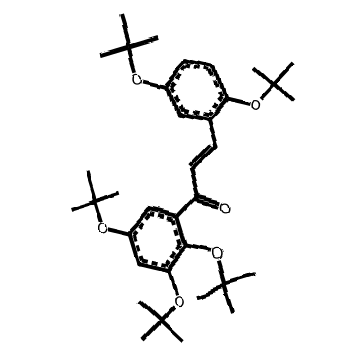 CC(C)(C)Oc1ccc(OC(C)(C)C)c(C=CC(=O)c2cc(OC(C)(C)C)cc(OC(C)(C)C)c2OC(C)(C)C)c1